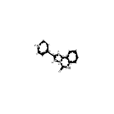 S=c1[nH]c2ccccc2c2nc(-c3ccncc3)nn12